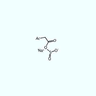 CC(=O)CC(=O)OS(=O)[O-].[Na+]